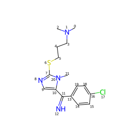 CN(C)CCCSc1ncc(C(=N)c2ccc(Cl)cc2)n1C